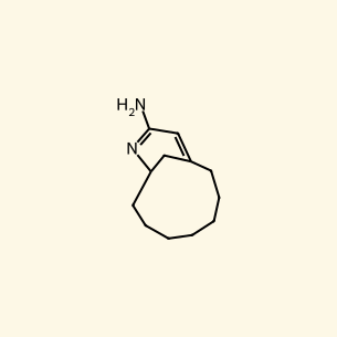 NC1=NC2CCCCCCCC(=C1)C2